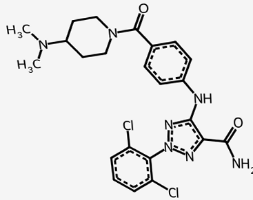 CN(C)C1CCN(C(=O)c2ccc(Nc3nn(-c4c(Cl)cccc4Cl)nc3C(N)=O)cc2)CC1